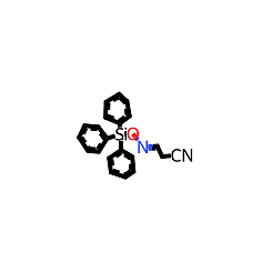 N#CCC=NO[Si](c1ccccc1)(c1ccccc1)c1ccccc1